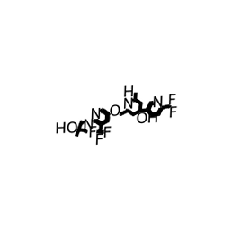 CC1CC(O)(c2ccc(C(F)F)nc2)CC(COc2cnc(N3CC(C)(O)C3)c(C(F)(F)F)c2)N1